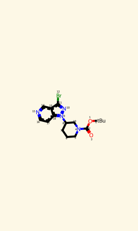 CC(C)(C)OC(=O)N1CCCC(n2nc(Br)c3cnccc32)C1